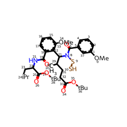 COc1cccc(C(=O)N(SS)C(c2c(OC)cccc2C(=O)NC(CC(C)C)C(=O)OC(C)(C)C)C(C)CCC(=O)OC(C)(C)C)c1